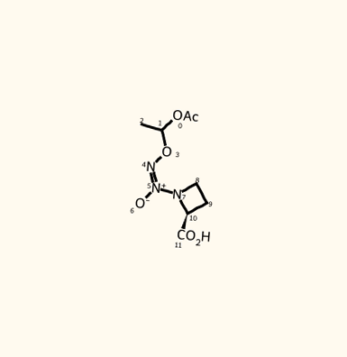 CC(=O)OC(C)O/N=[N+](/[O-])N1CC[C@H]1C(=O)O